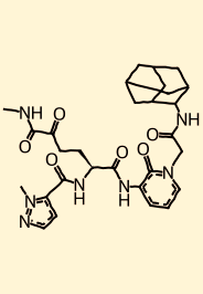 CNC(=O)C(=O)CC[C@H](NC(=O)c1ccnn1C)C(=O)Nc1cccn(CC(=O)NC2C3CC4CC(C3)CC2C4)c1=O